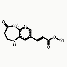 CC(C)OC(=O)/C=C/c1cnc2c(c1)NCCC(=O)N2